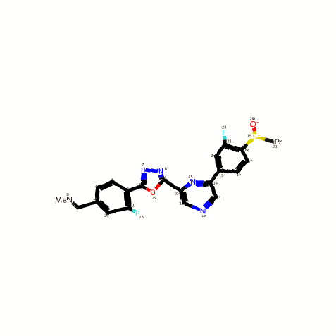 CNCc1ccc(-c2nnc(-c3cncc(-c4ccc([S+]([O-])C(C)C)c(F)c4)n3)o2)c(F)c1